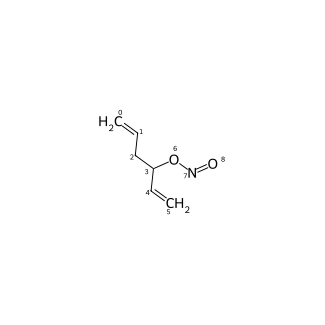 C=CCC(C=C)ON=O